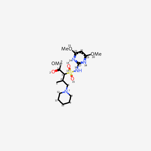 COC(=O)C(C(C)CN1CCCCC1)S(=O)(=O)Nc1nc(OC)cc(OC)n1